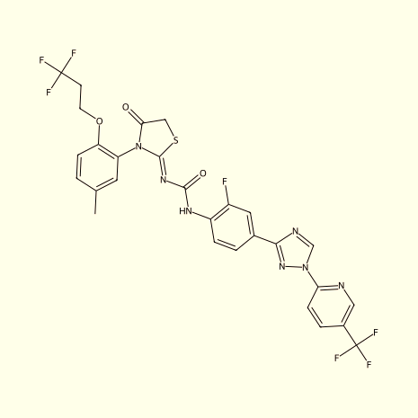 Cc1ccc(OCCC(F)(F)F)c(N2C(=O)CSC2=NC(=O)Nc2ccc(-c3ncn(-c4ccc(C(F)(F)F)cn4)n3)cc2F)c1